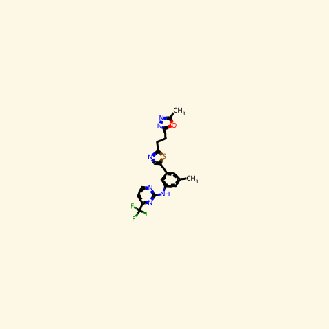 Cc1cc(Nc2nccc(C(F)(F)F)n2)cc(-c2cnc(CCc3nnc(C)o3)s2)c1